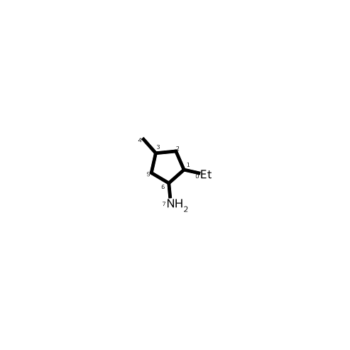 CCC1CC(C)CC1N